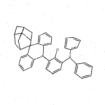 Clc1c(N(c2ccccc2)c2ccccc2)cccc1N1c2ccccc2C2(c3ccccc31)C1CC3CC(C1)CC2C3